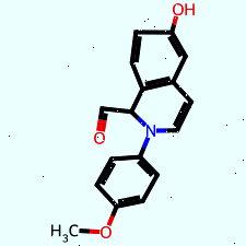 COc1ccc(N2C=Cc3cc(O)ccc3C2C=O)cc1